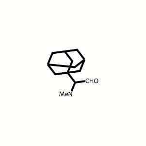 CNC(C=O)C12CC3CC(CC(C3)C1)C2